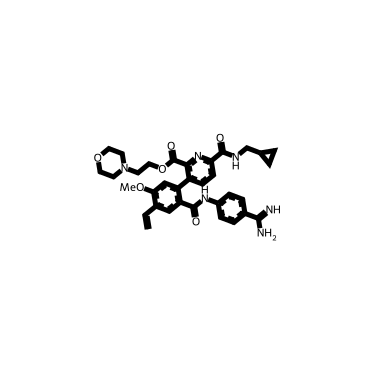 C=Cc1cc(C(=O)Nc2ccc(C(=N)N)cc2)c(-c2ccc(C(=O)NCC3CC3)nc2C(=O)OCCN2CCOCC2)cc1OC